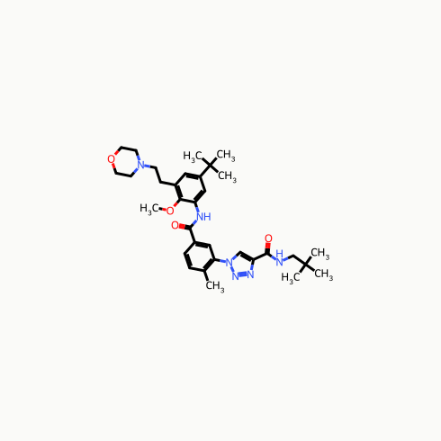 COc1c(CCN2CCOCC2)cc(C(C)(C)C)cc1NC(=O)c1ccc(C)c(-n2cc(C(=O)NCC(C)(C)C)nn2)c1